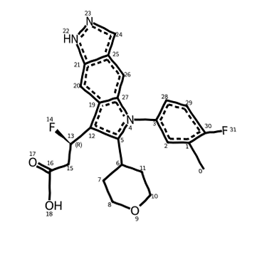 Cc1cc(-n2c(C3CCOCC3)c([C@H](F)CC(=O)O)c3cc4[nH]ncc4cc32)ccc1F